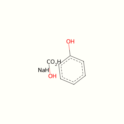 O=C(O)O.Oc1ccccc1.[NaH]